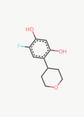 Oc1cc(O)c(C2CCOCC2)cc1F